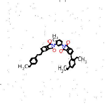 C=Cc1ccc(CCC2=CC3CC2C2C(=O)N(c4cc(N5C(=O)C6C7C=C(c8cc(C=C)ccc8CC)C(C7)C6C5=O)ccc4C)C(=O)C32)cc1